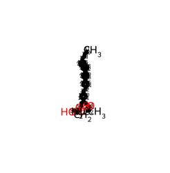 C=C(C)C(=O)OCC(CCOC(=O)C(=C)CO)C1CCC(CCC2CCC(c3ccc(-c4ccc5cc(CCCCC)ccc5c4)cc3)CC2)CC1